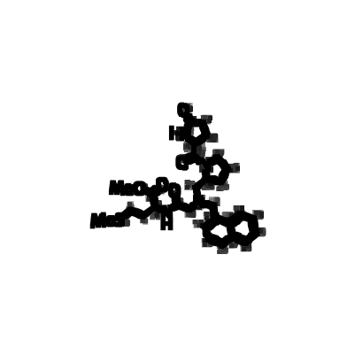 COC(=O)[C@H](CCSC)NC(=O)CN(Cc1cccc2ccccc12)C[C@@H]1CCCN1C(=O)[C@@H]1CCC(=O)N1